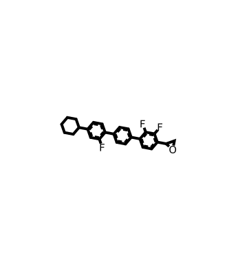 Fc1cc(C2CCCCC2)ccc1-c1ccc(-c2ccc(C3CO3)c(F)c2F)cc1